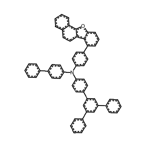 c1ccc(-c2ccc(N(c3ccc(-c4cc(-c5ccccc5)cc(-c5ccccc5)c4)cc3)c3ccc(-c4cccc5oc6c7ccccc7ccc6c45)cc3)cc2)cc1